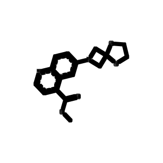 COC(=O)c1ccnc2ccc(N3CC4(C3)OCCO4)cc12